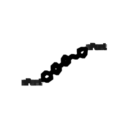 CCCCCC1CCC(C=Cc2ccc(-c3ccc(C4CCC(CCCCC)CC4)cc3)cc2)CC1